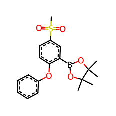 CC1(C)OB(c2cc(S(C)(=O)=O)ccc2Oc2ccccc2)OC1(C)C